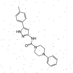 Cc1ccc(-c2cc(NC(=O)N3CCN(c4ccccc4)CC3)n[nH]2)cc1